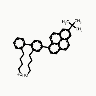 CC(C)(C)c1cc2ccc3ccc(-c4ccc(-c5ccccc5CCCCO)c(CCCCO)c4)c4ccc(c1)c2c34